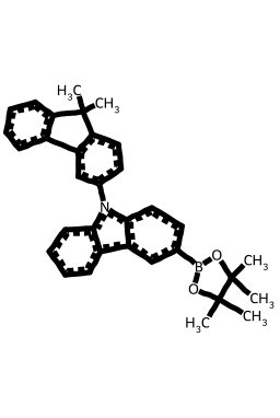 CC1(C)c2ccccc2-c2cc(-n3c4ccccc4c4cc(B5OC(C)(C)C(C)(C)O5)ccc43)ccc21